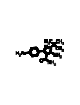 CC(C)(C)n1nc(-c2ccc([AsH2])cc2)c(C(N)=O)c1N